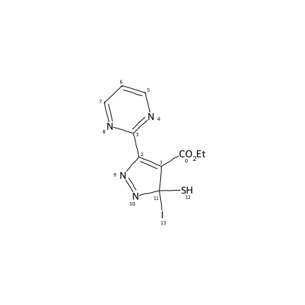 CCOC(=O)C1=C(c2ncccn2)N=NC1(S)I